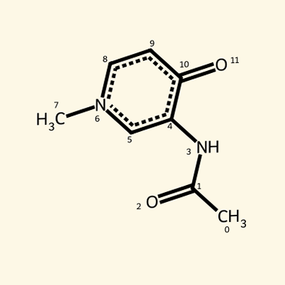 CC(=O)Nc1cn(C)ccc1=O